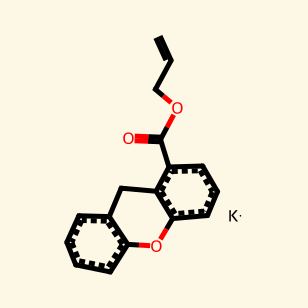 C=CCOC(=O)c1cccc2c1Cc1ccccc1O2.[K]